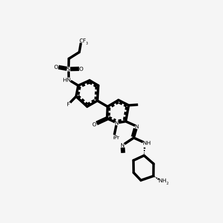 C=N/C(=N\c1c(C)cc(-c2ccc(NS(=O)(=O)CCC(F)(F)F)c(F)c2)c(=O)n1C(C)C)N[C@H]1CCC[C@@H](N)C1